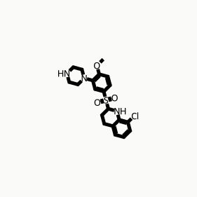 COc1ccc(S(=O)(=O)C2CCc3cccc(Cl)c3N2)cc1N1CCNCC1